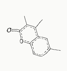 Cc1ccc2oc(=O)c(C)c(C)c2c1